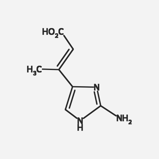 C/C(=C\C(=O)O)c1c[nH]c(N)n1